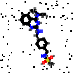 CCCS(=O)(=O)NC[C@H]1CC[C@H](CNc2nc(N(C)C)c3ccccc3n2)CC1